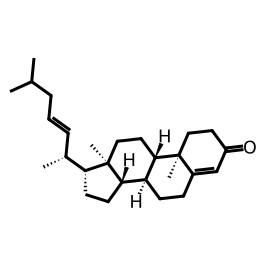 CC(C)CC=C[C@@H](C)[C@H]1CC[C@H]2[C@@H]3CCC4=CC(=O)CC[C@]4(C)[C@H]3CC[C@]12C